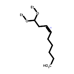 CCOC(C/C=C\CCCCC(=O)O)OCC